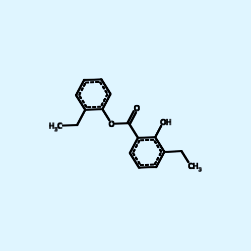 CCc1ccccc1OC(=O)c1cccc(CC)c1O